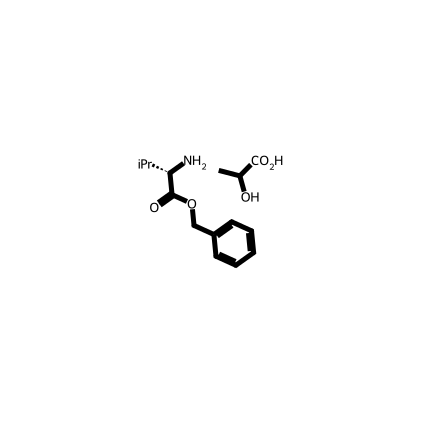 CC(C)[C@H](N)C(=O)OCc1ccccc1.CC(O)C(=O)O